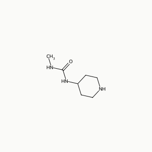 CNC(=O)NC1CCNCC1